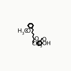 CCC(CCCCc1ccccc1OC)Oc1cccc(O)c1C=O